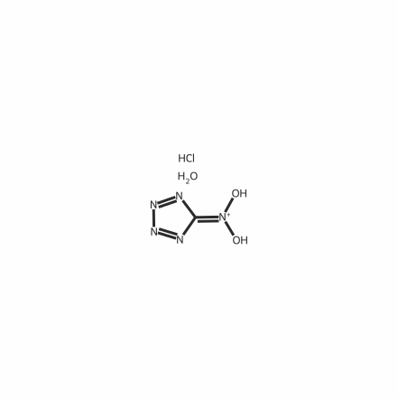 Cl.O.O[N+](O)=C1N=NN=N1